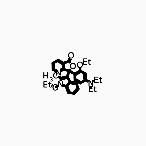 CCOc1cc(N(CC)CC)ccc1C1(c2c(C)n(OCC)c3ccccc23)OC(=O)c2cccnc21